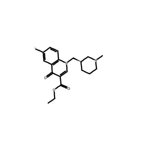 CCOC(=O)c1cn(C[C@@H]2CCCN(C)C2)c2ccc(I)cc2c1=O